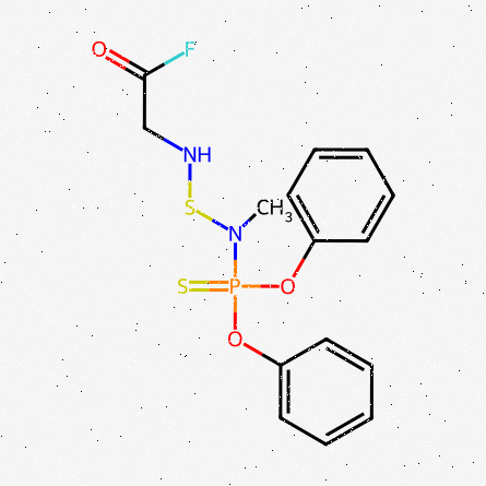 CN(SNCC(=O)F)P(=S)(Oc1ccccc1)Oc1ccccc1